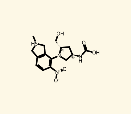 C[SH]1Cc2ccc([N+](=O)[O-])c(N3C[C@H](NC(=O)O)C[C@H]3CO)c2C1